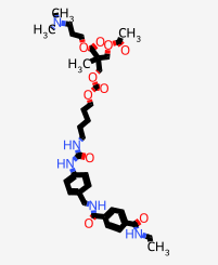 CCNC(=O)c1ccc(C(=O)NCc2ccc(NC(=O)NCCCCCOC(=O)OCC(C)(COC(C)=O)C(=O)OCCCN(C)C)cc2)cc1